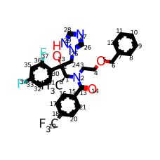 C[C@@H](N(CCOCc1ccccc1)C(=O)c1ccc(C(F)(F)F)cc1)[C@](O)(Cn1cncn1)c1ccc(F)cc1F